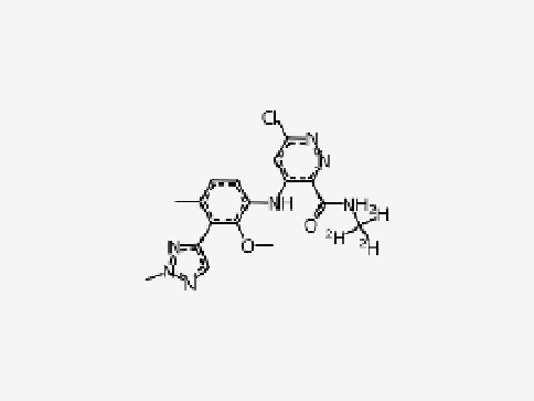 [2H]C([2H])([2H])NC(=O)c1nnc(Cl)cc1Nc1ccc(C)c(-c2cnn(C)n2)c1OC